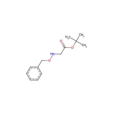 CC(C)(C)OC(=O)CNOCc1ccccc1